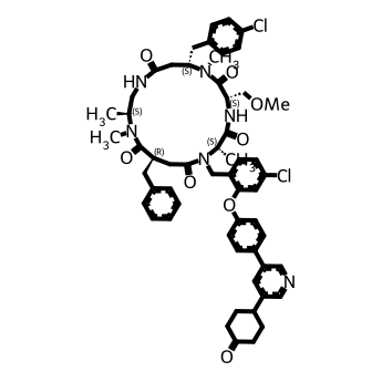 COC[C@@H]1NC(=O)[C@H](C)N(Cc2ccc(Cl)cc2Oc2ccc(-c3cncc(C4CCC(=O)CC4)c3)cc2)C(=O)C[C@@H](Cc2ccccc2)C(=O)N(C)[C@@H](C)CNC(=O)C[C@H](Cc2ccc(Cl)cc2)N(C)C1=O